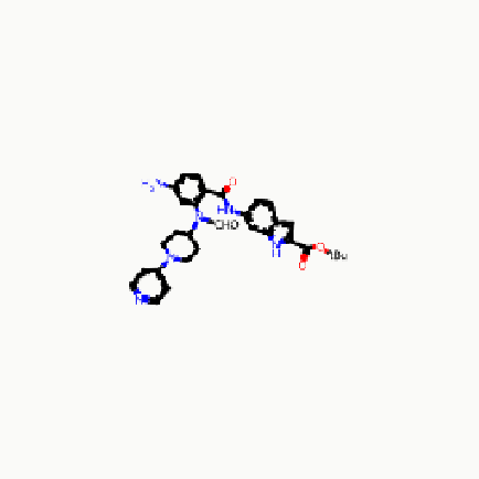 CC(C)(C)OC(=O)c1cc2ccc(NC(=O)c3ccc(N)cc3N(C=O)C3CCN(c4ccncc4)CC3)cc2[nH]1